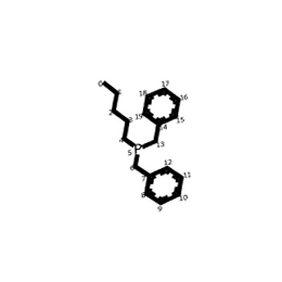 CCCCCP(Cc1ccccc1)Cc1ccccc1